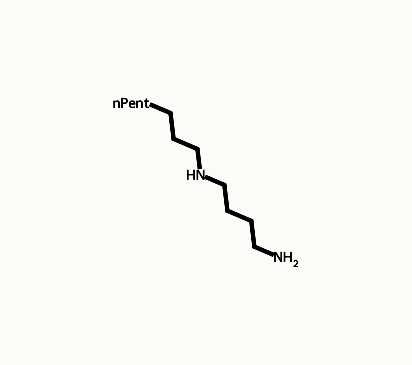 CCCCCCCCNCCCCN